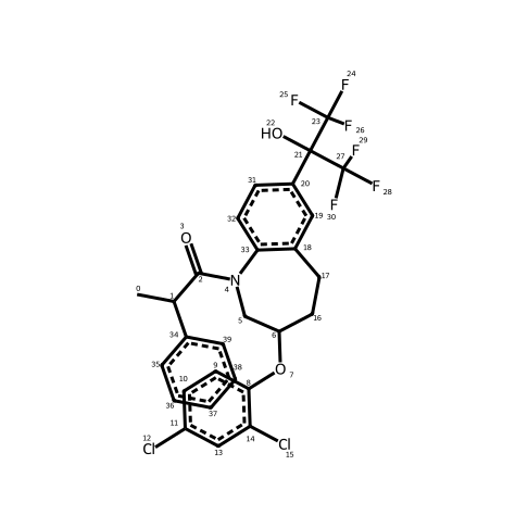 CC(C(=O)N1CC(Oc2ccc(Cl)cc2Cl)CCc2cc(C(O)(C(F)(F)F)C(F)(F)F)ccc21)c1ccccc1